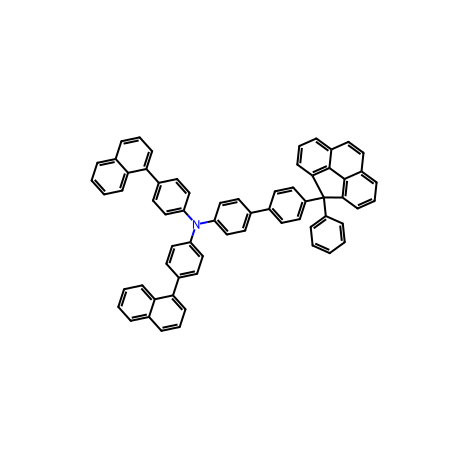 c1ccc(C2(c3ccc(-c4ccc(N(c5ccc(-c6cccc7ccccc67)cc5)c5ccc(-c6cccc7ccccc67)cc5)cc4)cc3)c3cccc4ccc5cccc2c5c34)cc1